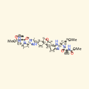 CC[C@H]1CC[C@@H](c2ncc(-c3ccc4c(c3)COc3cc5c(ccc6nc([C@@H]7C[C@H](COC)CN7C(=O)[C@@H](NC(=O)OC)[C@H](C)CC)[nH]c65)cc3-4)[nH]2)N1C(=O)[C@@H](NC(=O)OC)[C@H](C)CC